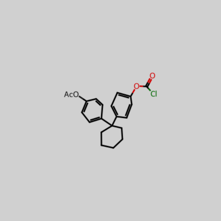 CC(=O)Oc1ccc(C2(c3ccc(OC(=O)Cl)cc3)CCCCC2)cc1